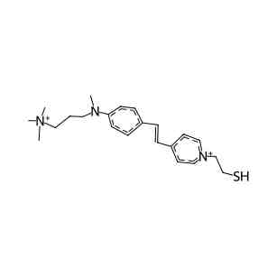 CN(CCC[N+](C)(C)C)c1ccc(/C=C/c2cc[n+](CCS)cc2)cc1